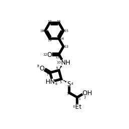 CCC(O)CS[C@@H]1NC(=O)[C@@H]1NC(=O)Cc1ccccc1